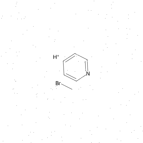 CBr.[H+].c1ccncc1